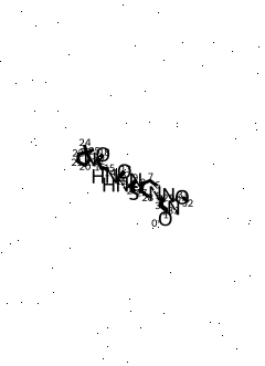 COc1cc(N2CCc3nc(NC(=O)NCCC(=O)N4CCCC4(C)C)sc3C2)nc(OC)n1